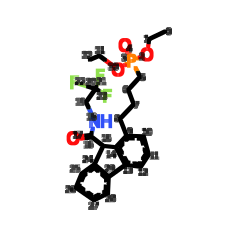 CCOP(=O)(CCCCc1cccc2c1C(C(=O)NCC(F)(F)F)c1ccccc1-2)OCC